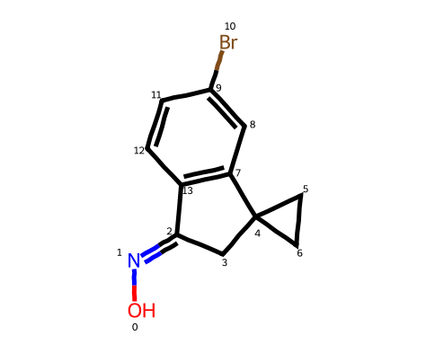 ON=C1CC2(CC2)c2cc(Br)ccc21